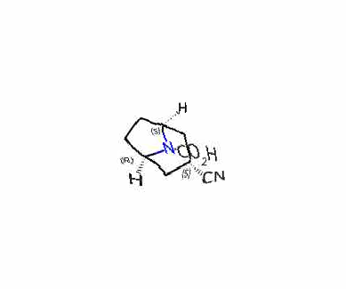 N#C[C@@H]1C[C@H]2CC[C@@H](C1)N2C(=O)O